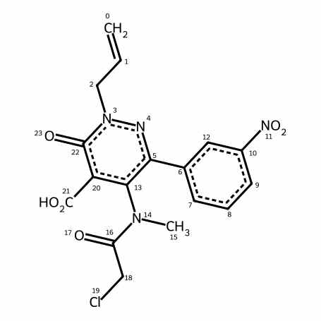 C=CCn1nc(-c2cccc([N+](=O)[O-])c2)c(N(C)C(=O)CCl)c(C(=O)O)c1=O